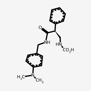 CN(C)c1ccc(CNC(=O)[C@H](CNC(=O)O)c2ccccc2)cc1